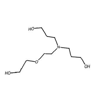 OCCCN(CCCO)CCOCCO